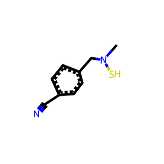 CN(S)Cc1ccc(C#N)cc1